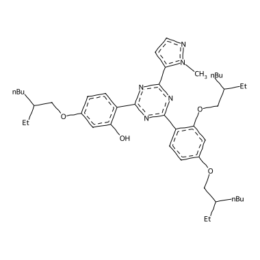 CCCCC(CC)COc1ccc(-c2nc(-c3ccc(OCC(CC)CCCC)cc3OCC(CC)CCCC)nc(-c3ccnn3C)n2)c(O)c1